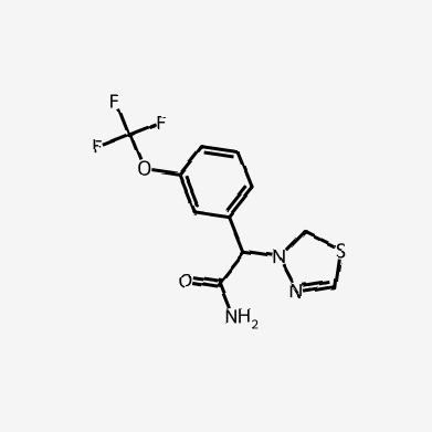 NC(=O)C(c1cccc(OC(F)(F)F)c1)N1CSC=N1